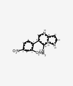 COc1cc([N+](=O)[O-])ccc1-c1cnc2ccnn2c1N